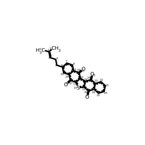 CC(C)=CCCc1ccc2c(=O)c3c(sc4c(=O)c5ccccc5c(=O)c43)c(=O)c2c1